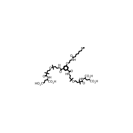 C=NCCCCCC(=O)NCCOc1cc(C(=O)NCCC(C)(C)OCCC(C)(C)C(=O)NC(CCC(=O)O)C(=O)O)cc(C(=O)NCCC(C)(C)OCCC(C)(C)C(=O)NC(CCC(=O)O)C(=O)O)c1